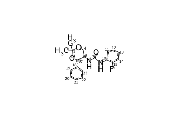 CC1(C)OC[C@H](NC(=O)Nc2ccccc2F)[C@H](c2ccccc2)O1